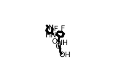 Cc1ccc(Nc2c(C(=O)NOCCO)ccc(F)c2F)cn1